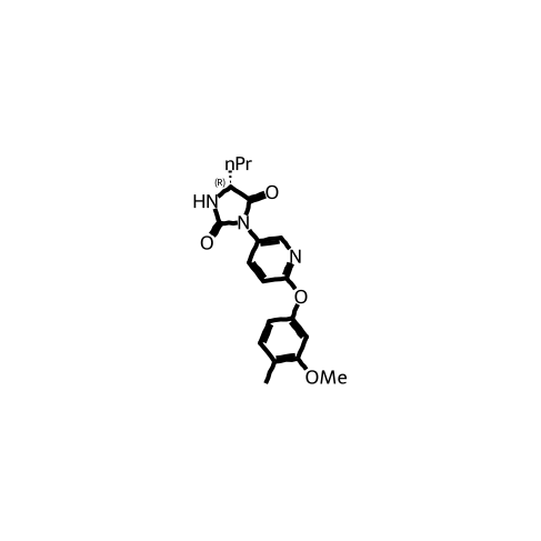 CCC[C@H]1NC(=O)N(c2ccc(Oc3ccc(C)c(OC)c3)nc2)C1=O